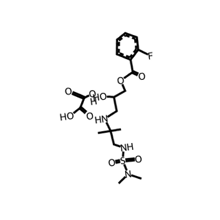 CN(C)S(=O)(=O)NCC(C)(C)NCC(O)COC(=O)c1ccccc1F.O=C(O)C(=O)O